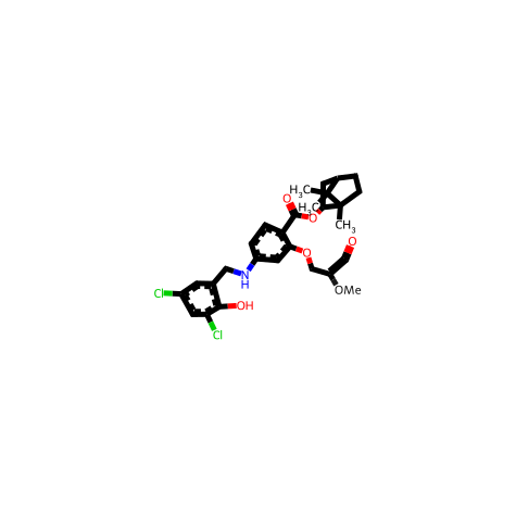 COC(=C=O)COc1cc(NCc2cc(Cl)cc(Cl)c2O)ccc1C(=O)OC1CC2CCC1(C)C2(C)C